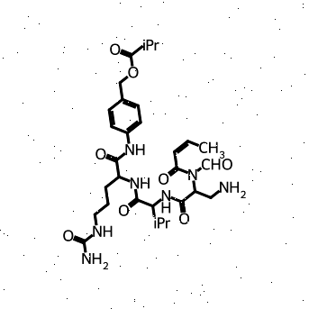 C/C=C\C(=O)N(C=O)C(CN)C(=O)NC(C(=O)NC(CCCNC(N)=O)C(=O)Nc1ccc(COC(=O)C(C)C)cc1)C(C)C